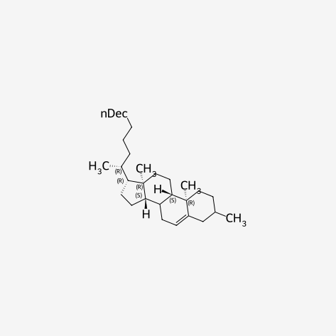 CCCCCCCCCCCCC[C@@H](C)[C@H]1CC[C@H]2C3CC=C4CC(C)CC[C@]4(C)[C@H]3CC[C@]12C